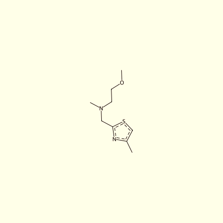 COCCN(C)Cc1nc(C)cs1